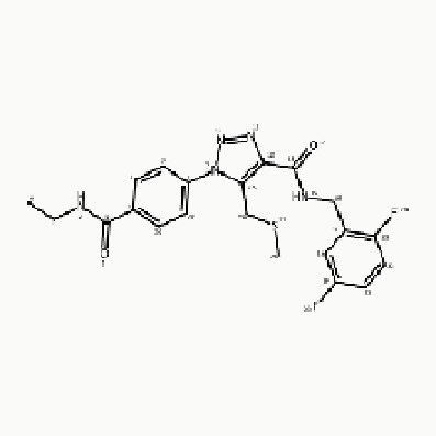 CCNC(=O)c1ccc(-n2nnc(C(=O)NCc3cc(F)ccc3F)c2CSC)cc1